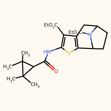 CCOC(=O)c1c(NC(=O)C2C(C)(C)C2(C)C)sc2c1CC1CCC2N1C(=O)OCC